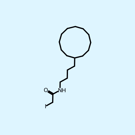 O=C(CI)NCCCCC1CCCCCCCCCCC1